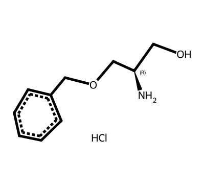 Cl.N[C@H](CO)COCc1ccccc1